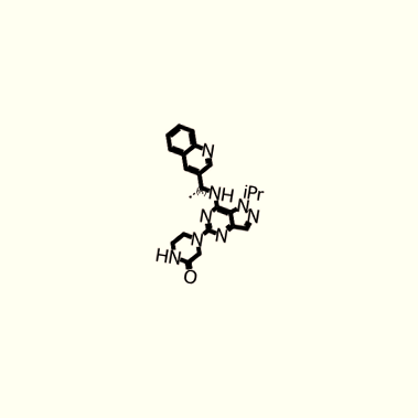 CC(C)n1ncc2nc(N3CCNC(=O)C3)nc(N[C@H](C)c3cnc4ccccc4c3)c21